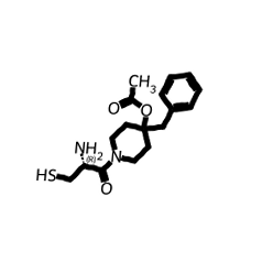 CC(=O)OC1(Cc2ccccc2)CCN(C(=O)[C@@H](N)CS)CC1